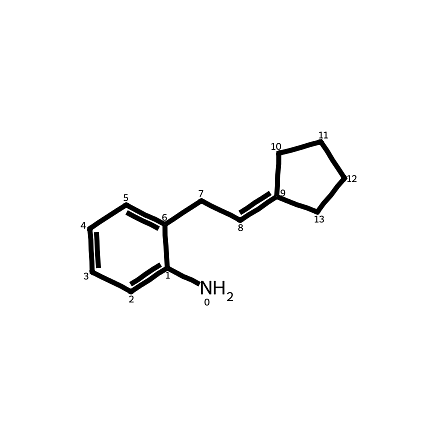 Nc1ccccc1CC=C1CCCC1